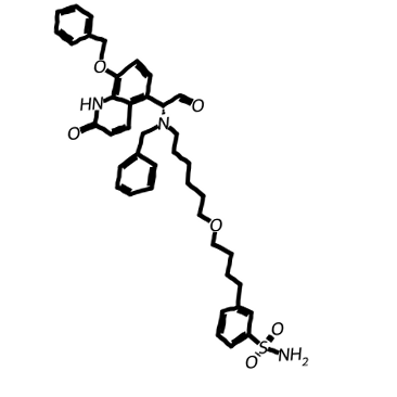 NS(=O)(=O)c1cccc(CCCCOCCCCCCN(Cc2ccccc2)[C@@H](C=O)c2ccc(OCc3ccccc3)c3[nH]c(=O)ccc23)c1